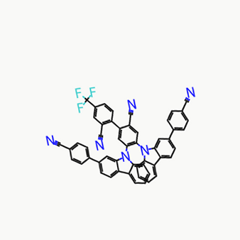 N#Cc1ccc(-c2ccc3c4ccccc4n(-c4cc(C#N)c(-c5ccc(C(F)(F)F)cc5C#N)cc4-n4c5ccccc5c5ccc(-c6ccc(C#N)cc6)cc54)c3c2)cc1